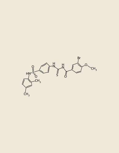 COc1ccc(C(=O)NC(=S)Nc2ccc(S(=O)(=O)Nc3ccc(C)cc3C)cc2)cc1Br